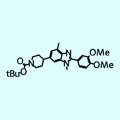 COc1ccc(-c2nc3c(C)cc(C4CCN(C(=O)OC(C)(C)C)CC4)cc3n2C)cc1OC